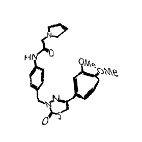 COc1ccc(C2=NN(Cc3ccc(NC(=O)CN4CCCC4)cc3)C(=O)SC2)cc1OC